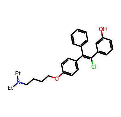 CCN(CC)CCCCOc1ccc(C(=C(Cl)c2cccc(O)c2)c2ccccc2)cc1